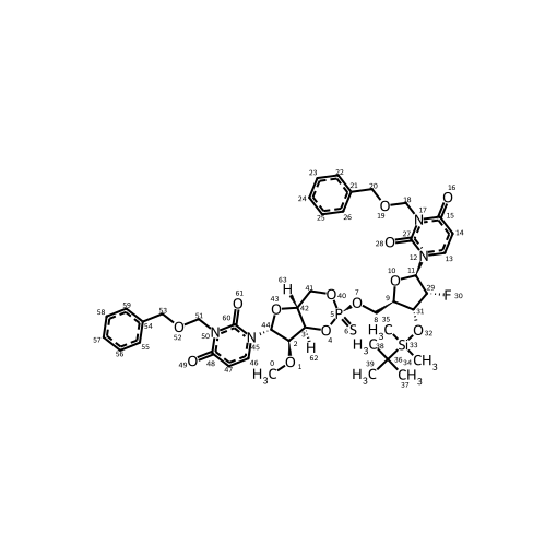 CO[C@@H]1[C@@H]2O[P@](=S)(OC[C@H]3O[C@@H](n4ccc(=O)n(COCc5ccccc5)c4=O)[C@H](F)[C@@H]3O[Si](C)(C)C(C)(C)C)OC[C@H]2O[C@H]1n1ccc(=O)n(COCc2ccccc2)c1=O